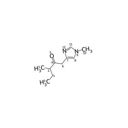 CCC(C)C(=O)Cc1cn(C)cn1